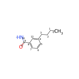 CCCCc1cccc(C([NH])=O)c1